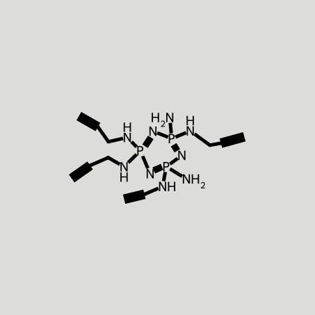 C#CCNP1(N)=NP(N)(NC#C)=NP(NCC#C)(NCC#C)=N1